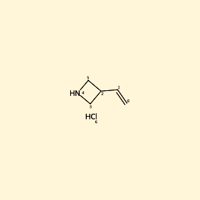 C=CC1CNC1.Cl